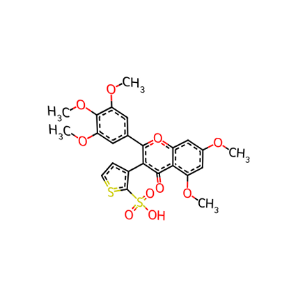 COc1cc(OC)c2c(=O)c(-c3ccsc3S(=O)(=O)O)c(-c3cc(OC)c(OC)c(OC)c3)oc2c1